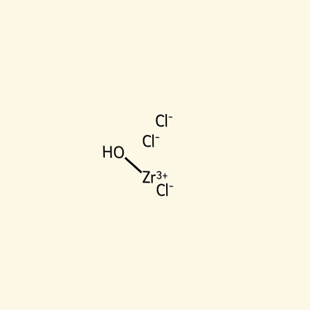 [Cl-].[Cl-].[Cl-].[OH][Zr+3]